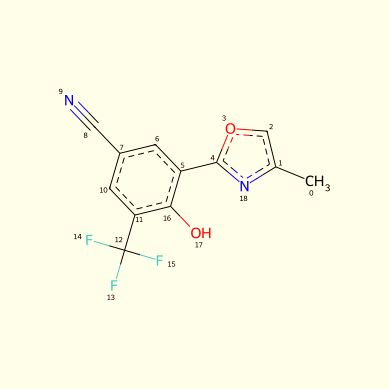 Cc1coc(-c2cc(C#N)cc(C(F)(F)F)c2O)n1